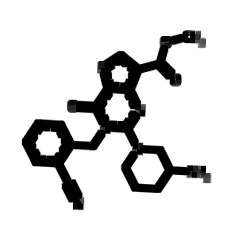 COC(=O)c1csc2c(=O)n(Cc3ccccc3C#N)c(N3CCCC(N)C3)nc12